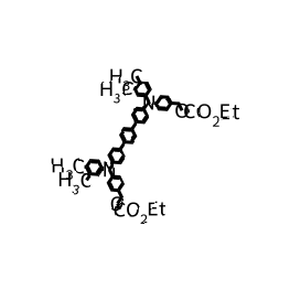 CCOC(=O)OCc1ccc(N(c2ccc(-c3ccc(-c4ccc(N(c5ccc(COC(=O)OCC)cc5)c5ccc(C)c(C)c5)cc4)cc3)cc2)c2ccc(C)c(C)c2)cc1